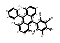 Fc1c(F)c(F)c(-c2c3cccc(F)c3c(-c3ccccc3)c3c(F)ccc(F)c23)c(F)c1F